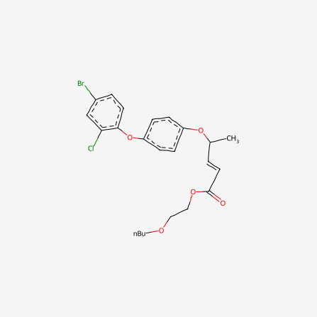 CCCCOCCOC(=O)C=CC(C)Oc1ccc(Oc2ccc(Br)cc2Cl)cc1